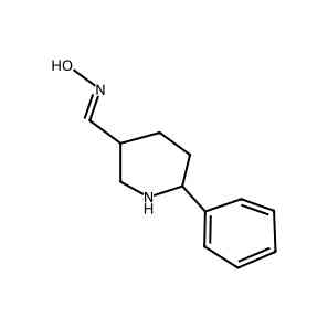 O/N=C/C1CCC(c2ccccc2)NC1